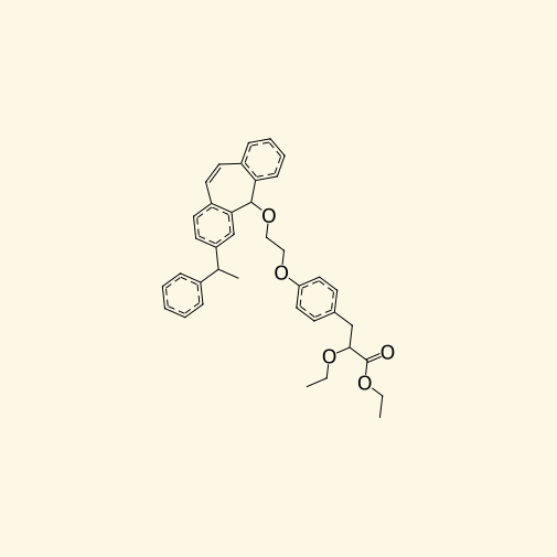 CCOC(=O)C(Cc1ccc(OCCOC2c3ccccc3C=Cc3ccc(C(C)c4ccccc4)cc32)cc1)OCC